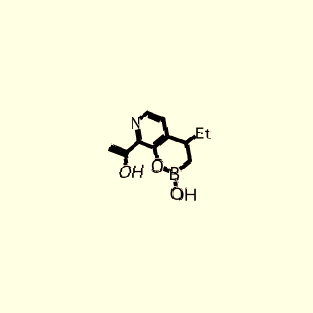 C=C(O)c1nccc2c1OB(O)CC2CC